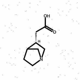 O=C(O)C[C@@H]1CN2CCC1C2